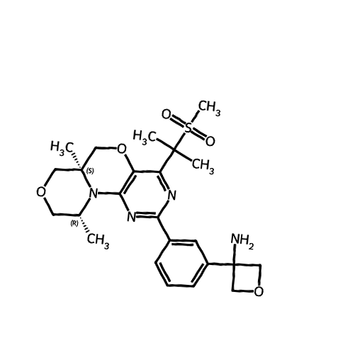 C[C@@H]1COC[C@@]2(C)COc3c(nc(-c4cccc(C5(N)COC5)c4)nc3C(C)(C)S(C)(=O)=O)N12